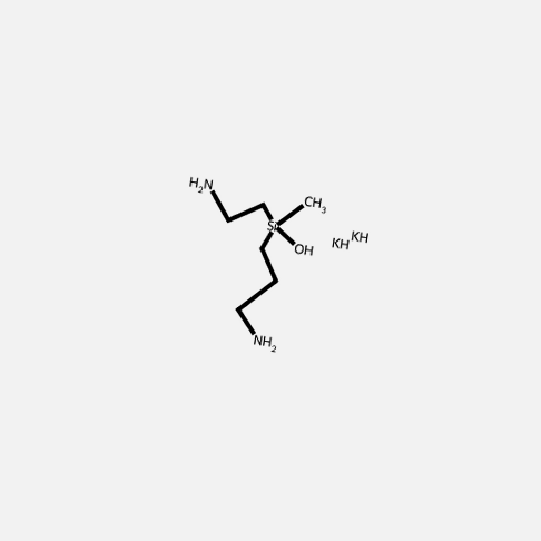 C[Si](O)(CCN)CCCN.[KH].[KH]